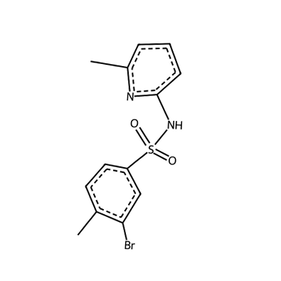 Cc1cccc(NS(=O)(=O)c2ccc(C)c(Br)c2)n1